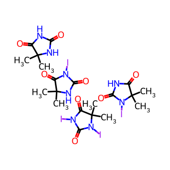 CC1(C)C(=O)N(I)C(=O)N1I.CC1(C)C(=O)NC(=O)N1I.CC1(C)NC(=O)N(I)C1=O.CC1(C)NC(=O)NC1=O